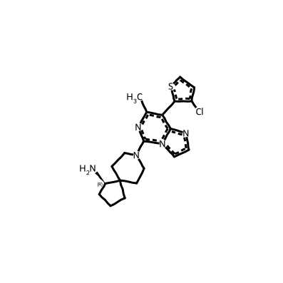 Cc1nc(N2CCC3(CCC[C@H]3N)CC2)n2ccnc2c1-c1sccc1Cl